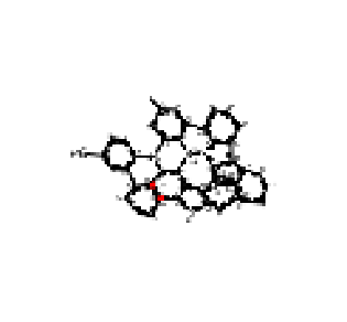 Cc1cc2c3c(c1)N(c1ccc(C(C)(C)C)cc1-c1ccccc1)c1ccc4sc5ccccc5c4c1B3n1c3sc4ccccc4c3c3cccc-2c31